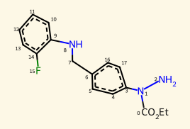 CCOC(=O)N(N)c1ccc(CNc2ccccc2F)cc1